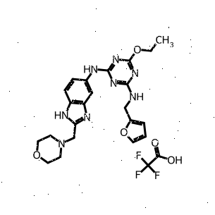 CCOc1nc(NCc2ccco2)nc(Nc2ccc3[nH]c(CN4CCOCC4)nc3c2)n1.O=C(O)C(F)(F)F